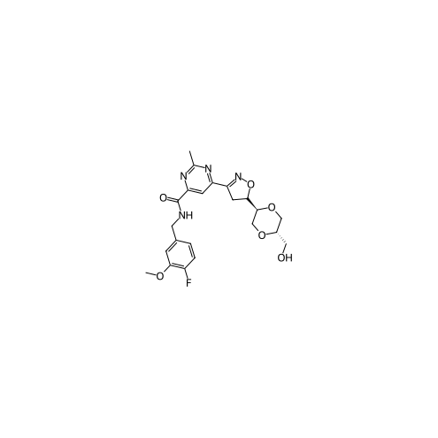 COc1cc(CNC(=O)c2cc(C3=NOC([C@@H]4CO[C@@H](CO)CO4)C3)nc(C)n2)ccc1F